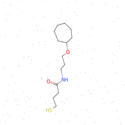 O=C(CCCS)NCCCOC1CCCCCC1